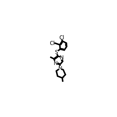 C[C]1CCN(c2cnc(Sc3cccc(Cl)c3Cl)c(C)n2)CC1